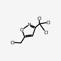 ClCc1cc(C(Cl)(Cl)Cl)no1